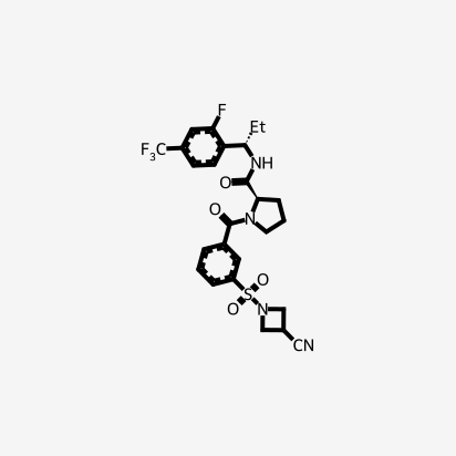 CC[C@H](NC(=O)[C@H]1CCCN1C(=O)c1cccc(S(=O)(=O)N2CC(C#N)C2)c1)c1ccc(C(F)(F)F)cc1F